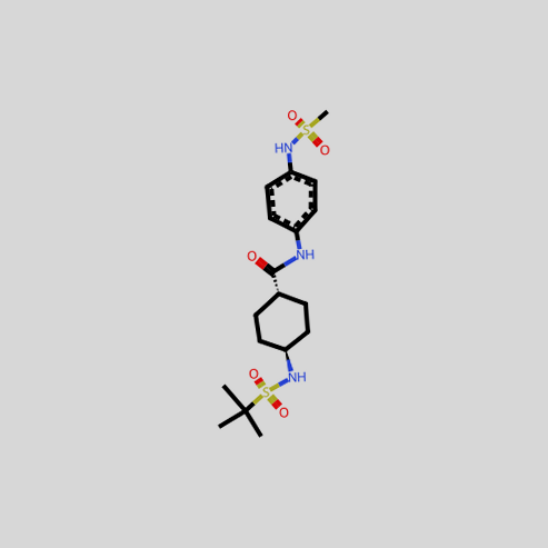 CC(C)(C)S(=O)(=O)N[C@H]1CC[C@H](C(=O)Nc2ccc(NS(C)(=O)=O)cc2)CC1